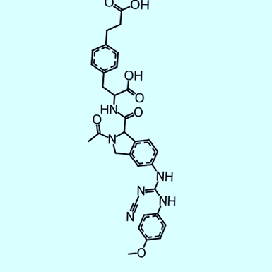 COc1ccc(NC(=NC#N)Nc2ccc3c(c2)CN(C(C)=O)C3C(=O)NC(Cc2ccc(CCC(=O)O)cc2)C(=O)O)cc1